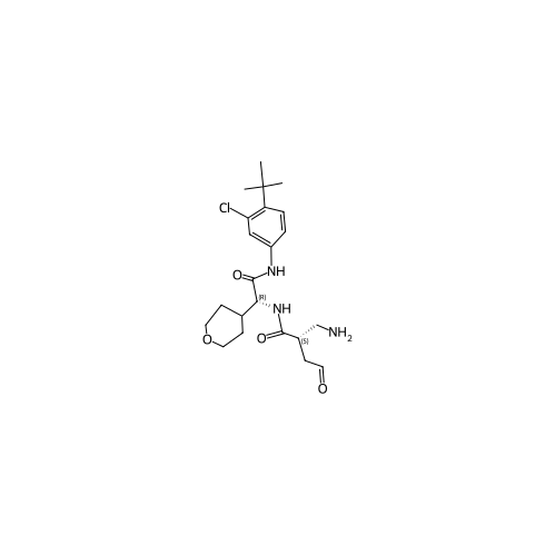 CC(C)(C)c1ccc(NC(=O)[C@H](NC(=O)[C@H](CN)CC=O)C2CCOCC2)cc1Cl